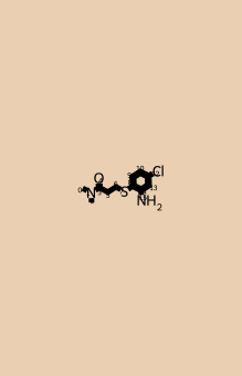 CN(C)C(=O)CCSc1ccc(Cl)cc1N